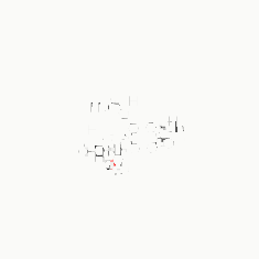 CC1C=C2C3=C(C1)N(c1cc(-c4ccc(C(C)(C)C)cc4)cc(-c4ccc(C(C)(C)C)cc4)c1)c1cc(-c4ccc5c(c4)sc4ccccc45)ccc1B3c1cc3c(cc1N2c1ccc(C(C)(C)C)cc1-c1ccccc1)OCCO3